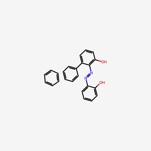 Oc1ccccc1N=Nc1c(O)cccc1-c1ccccc1.c1ccccc1